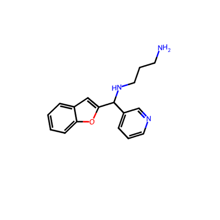 NCCCNC(c1cccnc1)c1cc2ccccc2o1